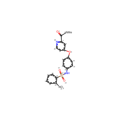 CNC(=O)c1cc(Oc2ccc(NS(=O)(=O)c3ccccc3[N+](=O)[O-])cc2)ccn1